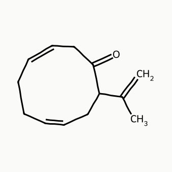 C=C(C)C1CC=CCCC=CCC1=O